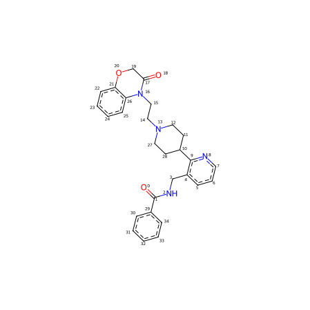 O=C(NCc1cccnc1C1CCN(CCN2C(=O)COc3ccccc32)CC1)c1ccccc1